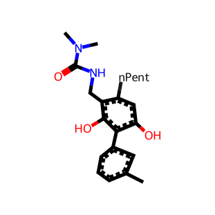 CCCCCc1cc(O)c(-c2cccc(C)c2)c(O)c1CNC(=O)N(C)C